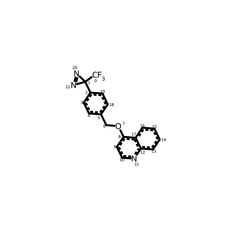 FC(F)(F)C1(c2ccc(COc3ccnc4ccccc34)cc2)N=N1